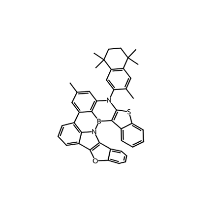 Cc1cc2c3c(c1)N(c1cc4c(cc1C)C(C)(C)CCC4(C)C)c1sc4ccccc4c1B3n1c3c-2cccc3c2oc3ccccc3c21